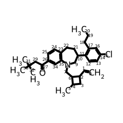 C=CC1CC(C)C1CN1CC(c2ccc(Cl)cc2CCC)CCc2ccc(C(=O)CC(C)(C)C)cc21